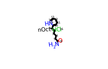 CCCCCCCCC(CCCCC(N)=O)C1=CC=CC=CN1.Cl